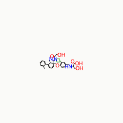 Cc1ccccc1C1=CC=CC(COc2ccc(CNC(CO)C(=O)O)cc2Cl)(c2noc(CO)n2)C1C